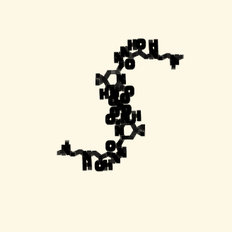 CN(C)CCNC[C@H](O)c1nnc([C@@H]2CC3(CC3)[C@@H]3CN2C(=O)N3OS(=O)(=O)ON2C(=O)N3C[C@H]2C2(CC2)C[C@H]3c2nnc([C@@H](O)CNCCN(C)C)o2)o1